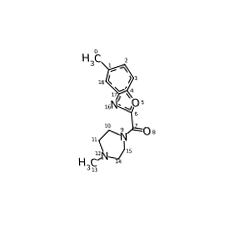 Cc1ccc2oc(C(=O)N3CCN(C)CC3)nc2c1